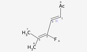 CC(=O)/C=C/C(F)=C(C)C